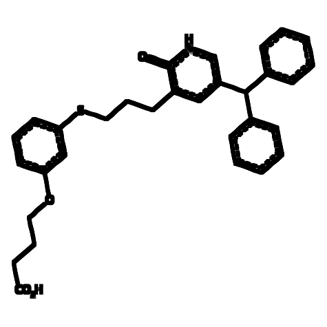 O=C(O)CCCOc1cccc(SCCCc2cc(C(c3ccccc3)c3ccccc3)c[nH]c2=O)c1